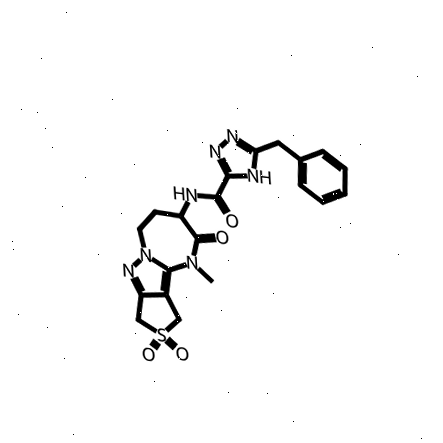 CN1C(=O)C(NC(=O)c2nnc(Cc3ccccc3)[nH]2)CCn2nc3c(c21)CS(=O)(=O)C3